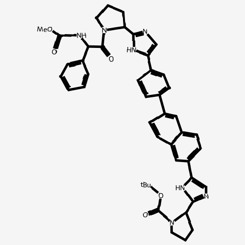 COC(=O)NC(C(=O)N1CCCC1c1ncc(-c2ccc(-c3ccc4cc(-c5cnc(C6CCCN6C(=O)OC(C)(C)C)[nH]5)ccc4c3)cc2)[nH]1)c1ccccc1